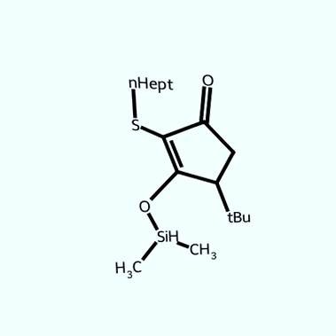 CCCCCCCSC1=C(O[SiH](C)C)C(C(C)(C)C)CC1=O